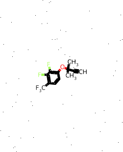 C#CC(C)(C)Oc1ccc(C(F)(F)F)c(F)c1F